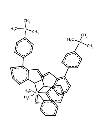 C[Si](C)(C)c1ccc(-c2cccc3c2C=C[CH]3[Hf]([CH3])([CH3])(=[SiH2])([c]2ccccc2)([c]2ccccc2)[CH]2C=Cc3c(-c4ccc([Si](C)(C)C)cc4)cccc32)cc1